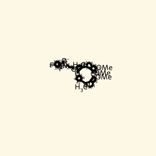 COc1cc2c3cc1Oc1c(OC)c(OC)cc4c1C(Cc1ccc(OCCCN[S+]([O-])c5ccc(F)cc5F)c(c1)Oc1ccc(cc1)CC3N(C)CC2)N(C)CC4